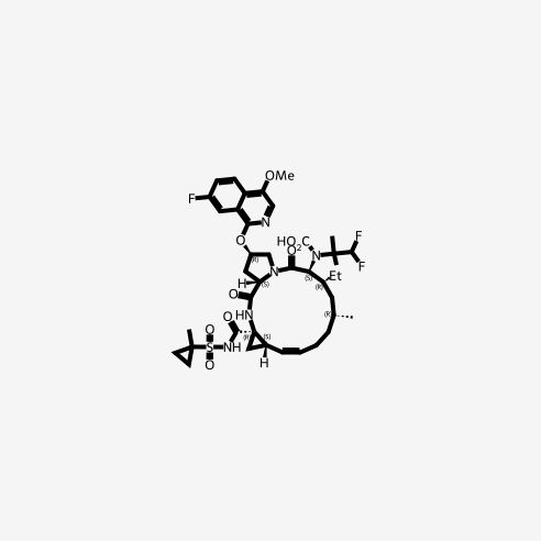 CC[C@@H]1C[C@H](C)CCC=C[C@@H]2C[C@@]2(C(=O)NS(=O)(=O)C2(C)CC2)NC(=O)[C@@H]2C[C@@H](Oc3ncc(OC)c4ccc(F)cc34)CN2C(=O)[C@H]1N(C(=O)O)C(C)(C)C(F)F